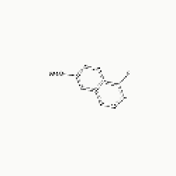 COc1ccc2c(F)[c]ccc2c1